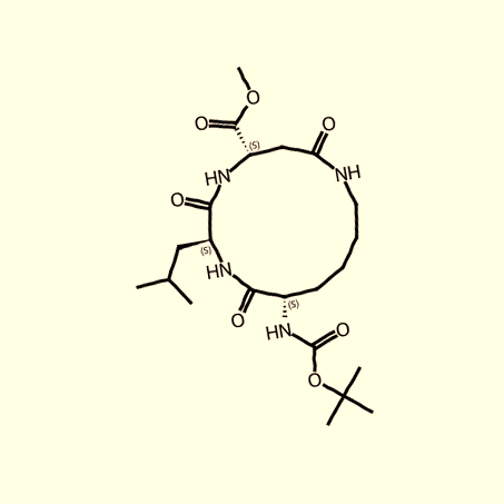 COC(=O)[C@@H]1CC(=O)NCCCC[C@H](NC(=O)OC(C)(C)C)C(=O)N[C@@H](CC(C)C)C(=O)N1